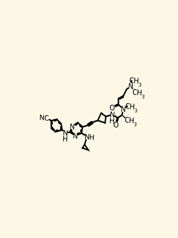 C[C@@H](C(=O)NC1CC(C#Cc2cnc(Nc3ccc(C#N)cc3)nc2NC2CC2)C1)N(C)C(=O)/C=C/CN(C)C